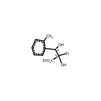 CCOC(=O)[C@](O)(CC)[C@H](O)c1ccccc1C